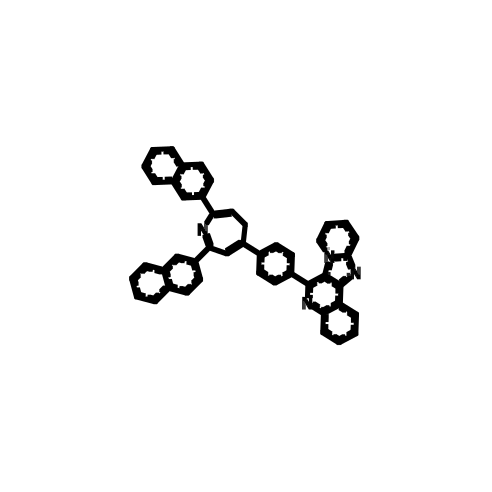 C1=C(c2ccc(-c3nc4ccccc4c4nc5ccccn5c34)cc2)CC=C(c2ccc3ccccc3c2)N=C1c1ccc2ccccc2c1